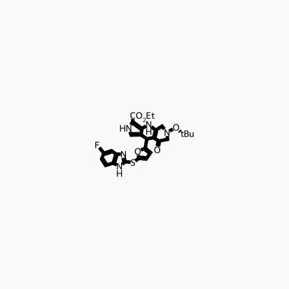 CCOC(=O)c1[nH]cc2c1NC1=C(C(=O)CN(OC(C)(C)C)C1)C2c1ccc(Sc2nc3cc(F)ccc3[nH]2)o1